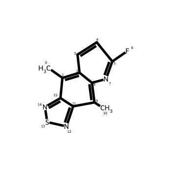 Cc1c2ccc(F)nc2c(C)c2nsnc12